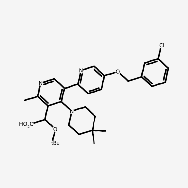 Cc1ncc(-c2ccc(OCc3cccc(Cl)c3)cn2)c(N2CCC(C)(C)CC2)c1C(OC(C)(C)C)C(=O)O